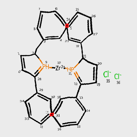 C1=CC(c2ccccc2)[PH]([Zr+2][PH]2=C(c3ccccc3)C=CC2c2ccccc2)=C1c1ccccc1.[Cl-].[Cl-]